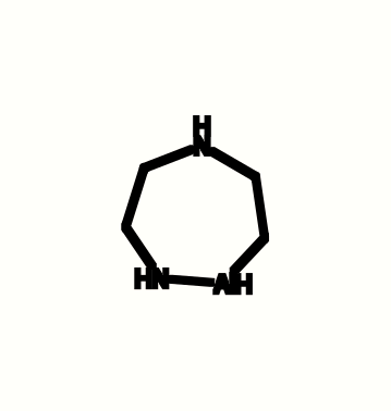 C1C[NH][AlH][CH2]CN1